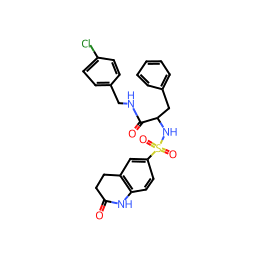 O=C1CCc2cc(S(=O)(=O)NC(Cc3ccccc3)C(=O)NCc3ccc(Cl)cc3)ccc2N1